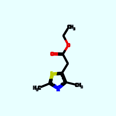 CCOC(=O)Cc1sc(C)nc1C